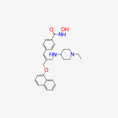 CCN1CCC(NCC(=Cc2ccc(C(=O)NO)cc2)COc2cccc3ccccc23)CC1